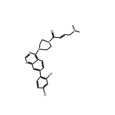 CN(C)C/C=C/C(=O)N1CCN(c2ncnc3cc(-c4ccc(Cl)cc4Cl)ccc23)CC1